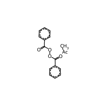 CC(C)=O.O=C(OOC(=O)c1ccccc1)c1ccccc1